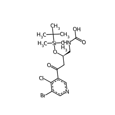 CC(C)(C)[Si](C)(C)O[C@@H](CNC(=O)O)CC(=O)c1cncc(Br)c1Cl